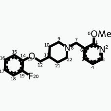 COc1ncccc1CN1CCC(COc2ccccc2F)CC1